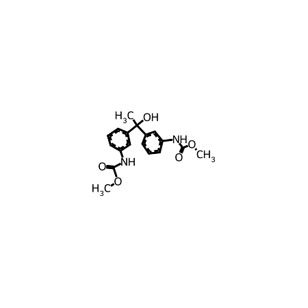 COC(=O)Nc1cccc(C(C)(O)c2cccc(NC(=O)OC)c2)c1